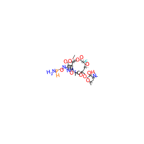 CC[C@@H]1OC(=O)[C@@](C)(F)C(=O)[C@H](C)C[C@](COC2O[C@H](C)C[C@H](N(C)C)[C@H]2O)(OC)C[C@@H](C)C(=O)[C@H](C)[C@H]2[C@H](/C(N)=N/OCPN)C(=O)O[C@]21C